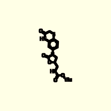 CC(C)(C)OC(=O)NCC1CN(c2ccc3c(c2)NC(=O)CS3)C(=O)O1